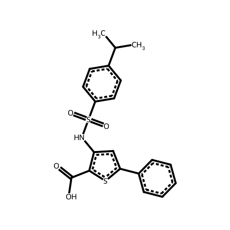 CC(C)c1ccc(S(=O)(=O)Nc2cc(-c3ccccc3)sc2C(=O)O)cc1